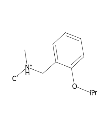 [CH2-][NH+](C)Cc1ccccc1OC(C)C